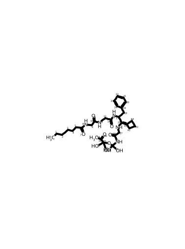 CCCCCCC(=O)NCC(=O)NCC(=O)NC(Cc1ccccc1)C(NCC(=O)NC(O)(O)OC(O)(O)C(C)=O)=C1CCC1